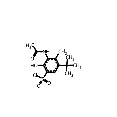 CC(=O)Nc1c(C)c(C(C)(C)C)cc(S(=O)(=O)Cl)c1O